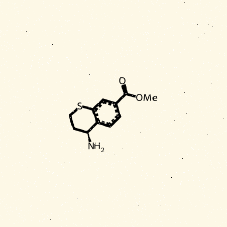 COC(=O)c1ccc2c(c1)SCC[C@@H]2N